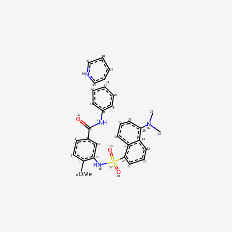 COc1ccc(C(=O)Nc2ccccc2)cc1NS(=O)(=O)c1cccc2c(N(C)C)cccc12.c1ccncc1